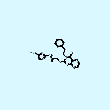 CC(C)(C)c1csc(NC(=O)CSc2nc3nccnc3c(=O)n2CCc2ccccc2)n1